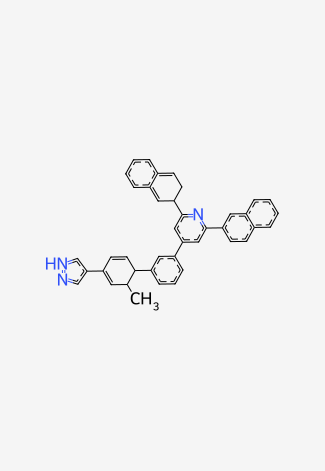 CC1C=C(c2cn[nH]c2)C=CC1c1cccc(-c2cc(-c3ccc4ccccc4c3)nc(C3C=c4ccccc4=CC3)c2)c1